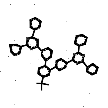 CC(C)(C)c1ccc(-c2cccc(-c3nc(-c4ccccc4)nc(-c4ccccc4)n3)c2)c(-c2ccc(-c3nc(-c4ccccc4)nc(-c4ccccc4)n3)cc2)c1